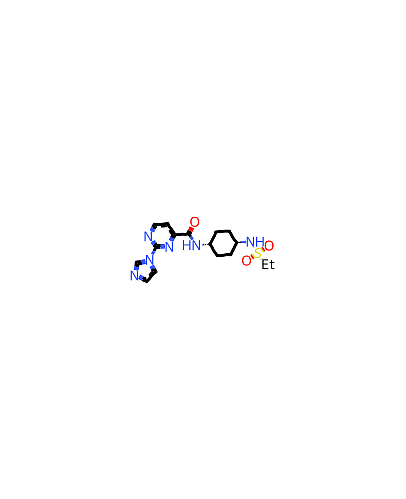 CCS(=O)(=O)N[C@H]1CC[C@H](NC(=O)c2ccnc(-n3ccnc3)n2)CC1